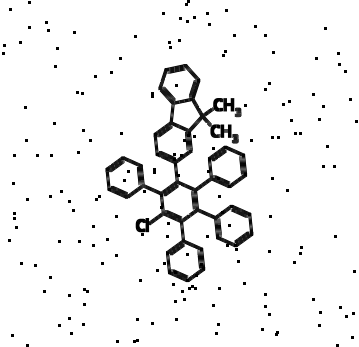 CC1(C)c2ccccc2-c2ccc(-c3c(-c4ccccc4)c(Cl)c(-c4ccccc4)c(-c4ccccc4)c3-c3ccccc3)cc21